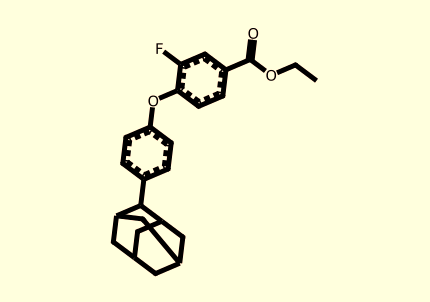 CCOC(=O)c1ccc(Oc2ccc(C3C4CC5CC(C4)CC3C5)cc2)c(F)c1